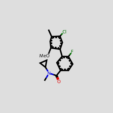 COc1cc(C)c(Cl)cc1-c1cc(C(=O)N(C)C2CC2)ccc1F